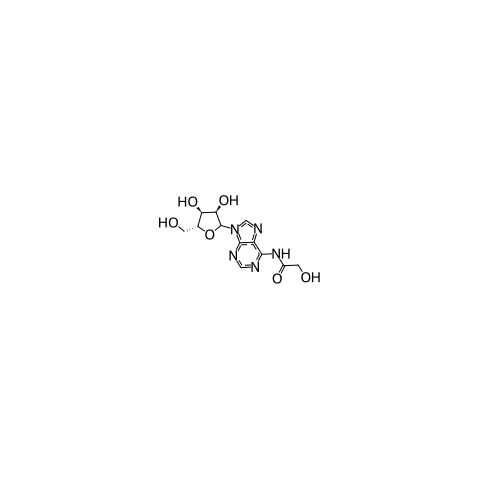 O=C(CO)Nc1ncnc2c1ncn2C1O[C@H](CO)[C@@H](O)[C@H]1O